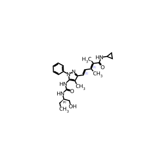 CC[C@H](CO)NC(=O)Nc1c(C)c(/C=C/C(C)=C(\C)C(=O)NC2CC2)nn1-c1ccccc1